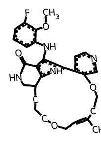 COc1c(F)cccc1Nc1c2[nH]c3c1C(=O)NCC3CCCOC/C=C(\C)CCOc1cnccc1-2